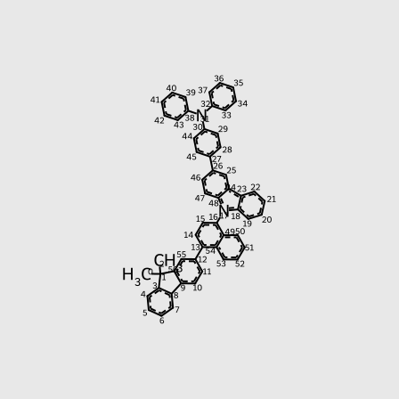 CC1(C)c2ccccc2-c2ccc(-c3ccc(-n4c5ccccc5c5cc(-c6ccc(N(c7ccccc7)c7ccccc7)cc6)ccc54)c4ccccc34)cc21